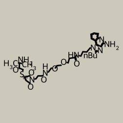 CCCCc1nc2c(N)nc3ccccc3c2n1CCCCNC(=O)CCOCCOCCNC(=O)CCN1C(=O)C[C@@H](SCC(=O)C(C)(C)N)C1=O